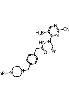 Bc1cnc(C#N)nc1N(CC(C)C)NC(=O)Cc1ccc(CN2CCN(CCC)CC2)cc1